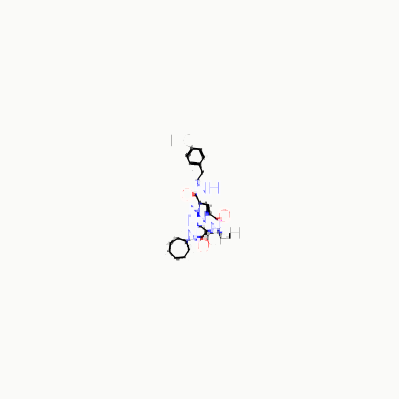 Cc1ccc(CCNC(=O)c2cc3n(n2)CC(C)(C(=O)NC2CCCCCC2)N(C)C3=O)cc1